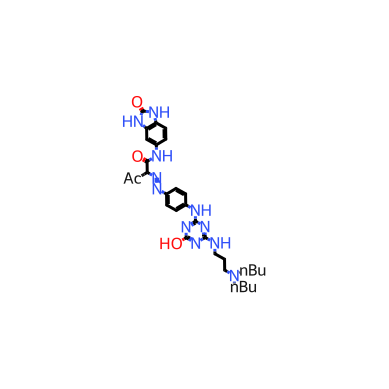 CCCCN(CCCC)CCCNc1nc(O)nc(Nc2ccc(N=NC(C(C)=O)C(=O)Nc3ccc4[nH]c(=O)[nH]c4c3)cc2)n1